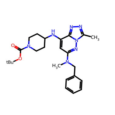 Cc1nnc2c(NC3CCN(C(=O)OC(C)(C)C)CC3)cc(N(C)Cc3ccccc3)nn12